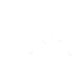 Nc1ccn(C2OC[C@@H](O)[C@@H](O)[C@H]2O)c(=O)n1